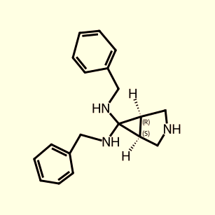 c1ccc(CNC2(NCc3ccccc3)[C@@H]3CNC[C@@H]32)cc1